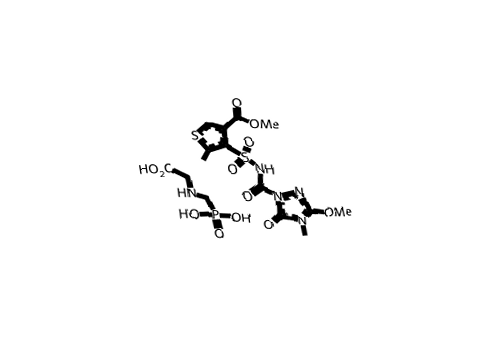 COC(=O)c1csc(C)c1S(=O)(=O)NC(=O)n1nc(OC)n(C)c1=O.O=C(O)CNCP(=O)(O)O